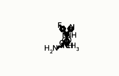 CC1(NC(=O)CCCN)COC(c2nc(-c3ccc(F)cc3)c(-c3ccncc3)[nH]2)OC1